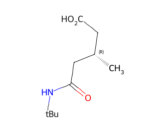 C[C@@H](CC(=O)O)CC(=O)NC(C)(C)C